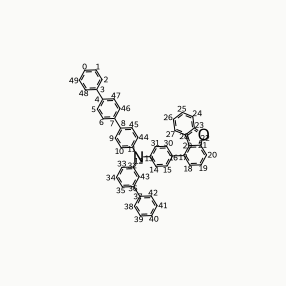 c1ccc(-c2ccc(-c3ccc(N(c4ccc(-c5cccc6oc7ccccc7c56)cc4)c4cccc(-c5ccccc5)c4)cc3)cc2)cc1